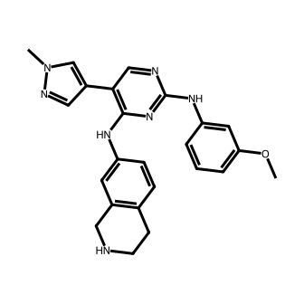 COc1cccc(Nc2ncc(-c3cnn(C)c3)c(Nc3ccc4c(c3)CNCC4)n2)c1